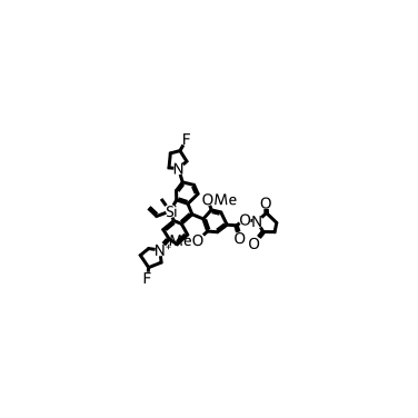 C=C[Si]1(C)C2=C/C(=[N+]3\CCC(F)C3)C=CC2=C(c2c(OC)cc(C(=O)ON3C(=O)CCC3=O)cc2OC)c2ccc(N3CCC(F)C3)cc21